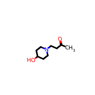 CC(=O)CCN1CCC(O)CC1